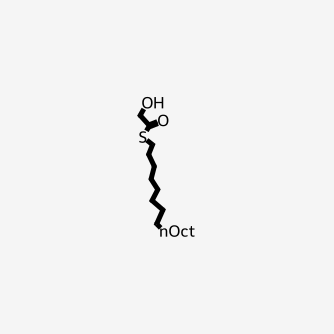 CCCCCCCCCCCCCCCCSC(=O)CO